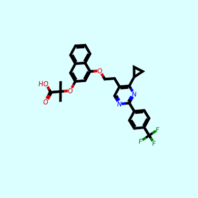 CC(C)(Oc1cc(OCCc2cnc(-c3ccc(C(F)(F)F)cc3)nc2C2CC2)c2ccccc2c1)C(=O)O